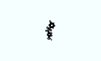 Cc1nnc(NS(=O)(=O)c2cccc(F)c2)s1